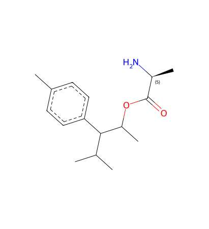 Cc1ccc(C(C(C)C)C(C)OC(=O)[C@H](C)N)cc1